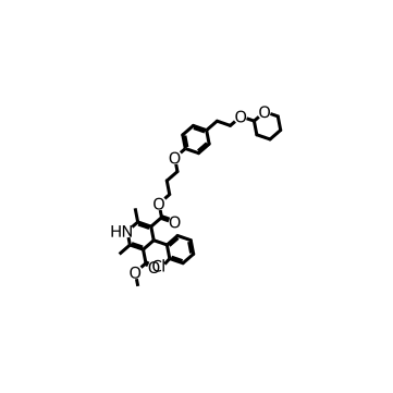 COC(=O)C1=C(C)NC(C)=C(C(=O)OCCCOc2ccc(CCOC3CCCCO3)cc2)C1c1ccccc1Cl